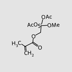 C=C(C)C(=O)OC[Si](OC)(OC(C)=O)OC(C)=O